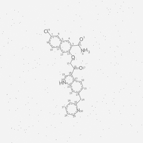 NC(=O)c1cc2cc(Cl)ccc2cc1OCC(=O)c1c[nH]c2cc(Cc3ccccn3)ccc12